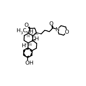 C[C@]12CC[C@@H]3c4ccc(O)cc4CC[C@H]3[C@@H]1[C@H](CCCC(=O)N1CCOCC1)CC2=O